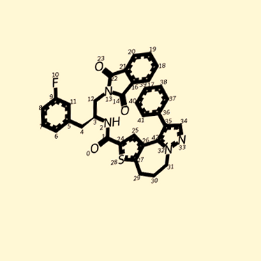 O=C(N[C@@H](Cc1cccc(F)c1)CN1C(=O)c2ccccc2C1=O)c1cc2c(s1)CCCn1ncc(-c3ccccc3)c1-2